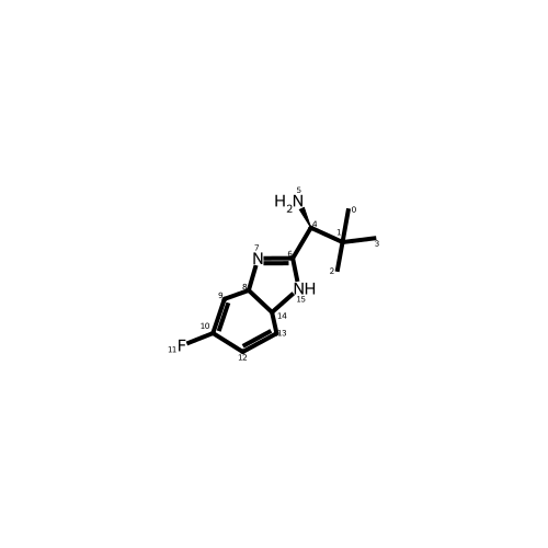 CC(C)(C)[C@H](N)C1=NC2C=C(F)C=CC2N1